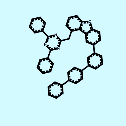 c1ccc(-c2ccc(-c3cccc(-c4ccc5oc6cccc(Cc7nc(-c8ccccc8)nc(-c8ccccc8)n7)c6c5c4)c3)cc2)cc1